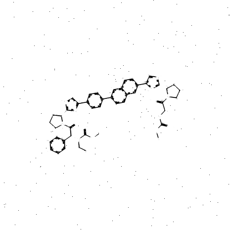 CCN(C(=O)OC)[C@@H](C(=O)N1CCC[C@H]1c1ncc(-c2ccc(-c3ccc4cc(-c5cnc([C@@H]6CCCN6C(=O)CNC(=O)OC)[nH]5)ccc4c3)cc2)[nH]1)c1ccccc1